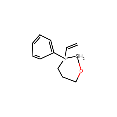 C=C[Si]1(c2ccccc2)CCCO[SiH2]1